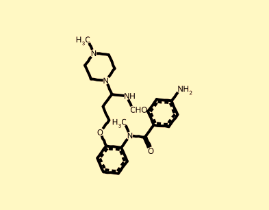 CN1CCN(C(CCOc2ccccc2N(C)C(=O)c2ccc(N)cc2)NC=O)CC1